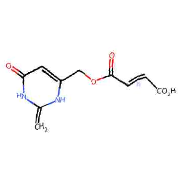 C=C1NC(=O)C=C(COC(=O)/C=C/C(=O)O)N1